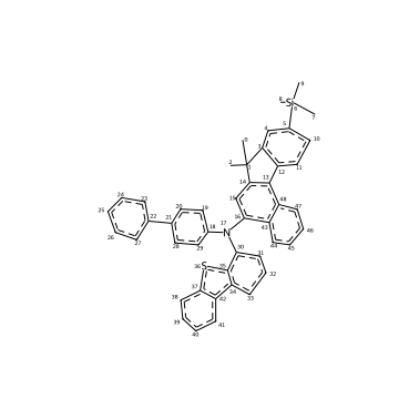 CC1(C)c2cc([Si](C)(C)C)ccc2-c2c1cc(N(c1ccc(-c3ccccc3)cc1)c1cccc3c1sc1ccccc13)c1ccccc21